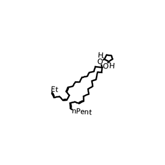 CC/C=C\C/C=C\C/C=C\CCCCCCCCC1(CCCCCCCC/C=C\C/C=C\CCCCC)O[C@H]2CCC[C@H]2O1